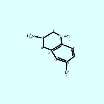 Cl.N[C@H]1COc2ccc(Br)cc2C1